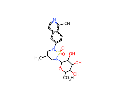 C[C@H]1CN(c2ccc3c(C#N)nccc3c2)S(=O)(=O)N(C2OC(C(=O)O)C(O)C(O)C2O)C1